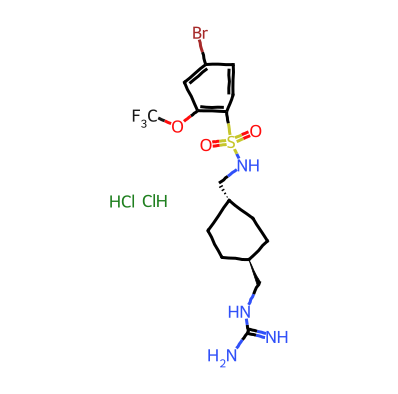 Cl.Cl.N=C(N)NC[C@H]1CC[C@H](CNS(=O)(=O)c2ccc(Br)cc2OC(F)(F)F)CC1